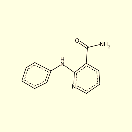 NC(=O)c1cccnc1Nc1ccccc1